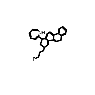 FCCCC1C=c2c(ccc3c2=CCc2ccccc2-3)C(C2=CC=CC=CN2)C1